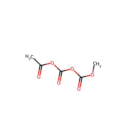 COC(=O)OC(=O)OC(C)=O